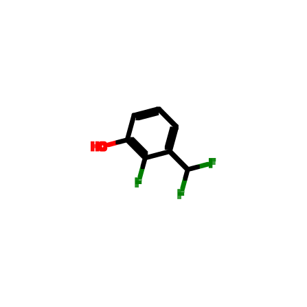 Oc1cccc(C(F)F)c1F